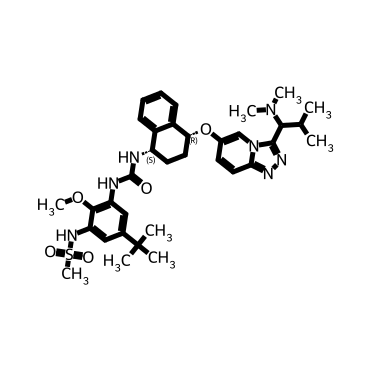 COc1c(NC(=O)N[C@H]2CC[C@@H](Oc3ccc4nnc(C(C(C)C)N(C)C)n4c3)c3ccccc32)cc(C(C)(C)C)cc1NS(C)(=O)=O